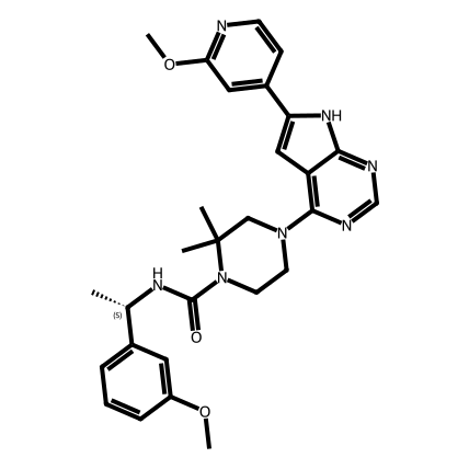 COc1cccc([C@H](C)NC(=O)N2CCN(c3ncnc4[nH]c(-c5ccnc(OC)c5)cc34)CC2(C)C)c1